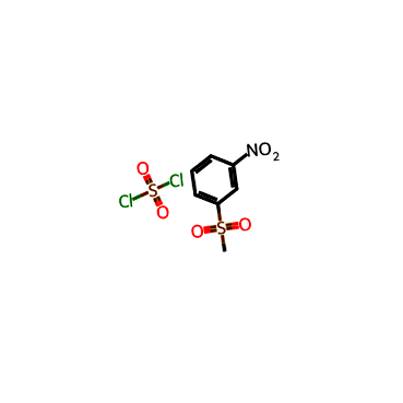 CS(=O)(=O)c1cccc([N+](=O)[O-])c1.O=S(=O)(Cl)Cl